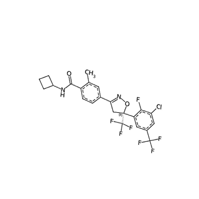 Cc1cc(C2=NO[C@](c3cc(C(F)(F)F)cc(Cl)c3F)(C(F)(F)F)C2)ccc1C(=O)NC1CCC1